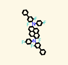 Fc1ccc(N(c2c(F)cc(-c3ccccc3)cc2F)c2ccc3ccc4c(N(c5ccc(F)cc5)c5c(F)cc(-c6ccccc6)cc5F)ccc5ccc2c3c54)cc1